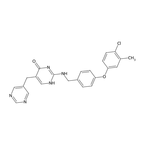 Cc1cc(Oc2ccc(CNc3nc(=O)c(Cc4cncnc4)c[nH]3)cc2)ccc1Cl